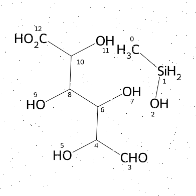 C[SiH2]O.O=CC(O)C(O)C(O)C(O)C(=O)O